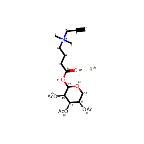 C#CC[N+](C)(C)CCCC(=O)OC1OC[C@@H](OC(C)=O)[C@@H](OC(C)=O)[C@H]1OC(C)=O.[Br-]